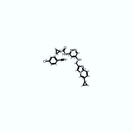 N#Cc1ccc(Cl)cc1[C@@H]1C[C@H]1C(=O)Nc1cc(NCc2cn3cc(C4CC4)ccc3n2)cnn1